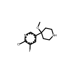 COC1(c2cnc(Cl)c(F)c2)CCNCC1